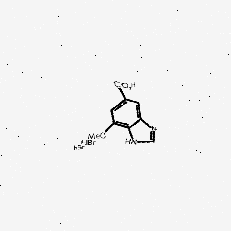 Br.Br.COc1cc(C(=O)O)cc2nc[nH]c12